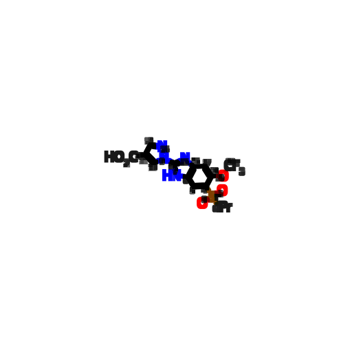 CC(C)S(=O)(=O)c1cc2[nH]c(-n3cc(C(=O)O)cn3)nc2cc1OC(F)(F)F